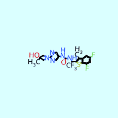 Cc1c(C(NC(=O)Nc2cnc(N3CC(C)(O)C3)nc2)C(F)(F)F)sc2c(F)cc(F)cc12